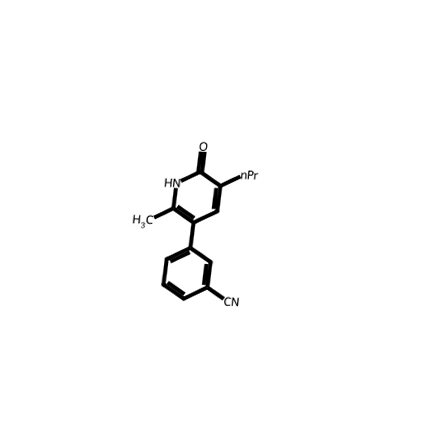 CCCc1cc(-c2cccc(C#N)c2)c(C)[nH]c1=O